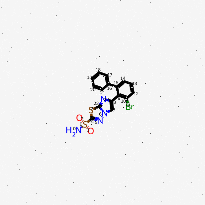 NS(=O)(=O)c1nn2cc(-c3c(Br)cccc3-c3ccccc3)nc2s1